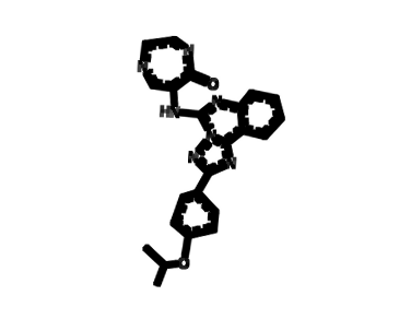 CC(C)Oc1ccc(-c2nc3c4ccccc4nc(Nc4cnccnc4=O)n3n2)cc1